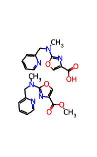 CN(Cc1ccccn1)c1nc(C(=O)O)co1.COC(=O)c1coc(N(C)Cc2ccccn2)n1